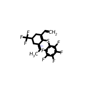 C=CC1=C(Sc2c(F)c(F)c(F)c(F)c2F)/C(=C/C)CC(C(F)(F)F)C1